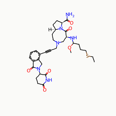 CCSCCCC(N[C@H]1CN(CC#Cc2cccc3c2CN(C2CCC(=O)NC2=O)C3=O)CC[C@H]2CC[C@@H](C(N)=O)N2C1=O)OC